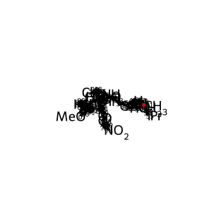 COc1ccc(C(NCCCC[C@H](NC(=O)[C@H](Cc2ccc(Cl)c(Cl)c2)NC(=O)CCC(=O)NCCCO[C@H]2CC[C@@]3(C)C(=CC[C@H]4[C@@H]5CC[C@H]([C@H](C)CCCC(C)C)[C@@]5(C)CC[C@@H]43)C2)C(=O)Nc2ccc(COC(=O)Oc3ccc([N+](=O)[O-])cc3)cc2)(c2ccccc2)c2ccccc2)cc1